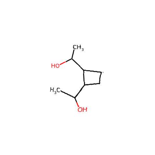 CC(O)C1[CH]CC1C(C)O